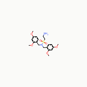 COc1ccc(CN(Cc2ccc(OC)cc2OC)S(=O)(=O)CCN)c(OC)c1